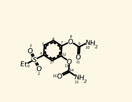 CCS(=O)(=O)c1ccc(OC(N)=O)c(OC(N)=O)c1